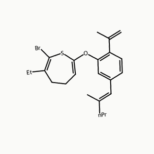 C=C(C)c1ccc(C=C(C)CCC)cc1OC1=CCCC(CC)=C(Br)S1